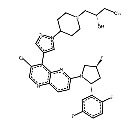 OC[C@H](O)CN1CCC(n2cc(-c3c(Cl)cnc4ccc(N5C[C@@H](F)C[C@@H]5c5cc(F)ccc5F)nc34)cn2)CC1